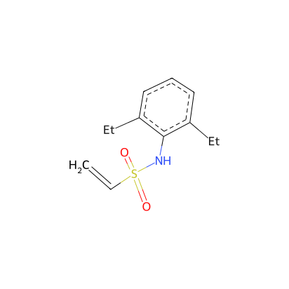 C=CS(=O)(=O)Nc1c(CC)cccc1CC